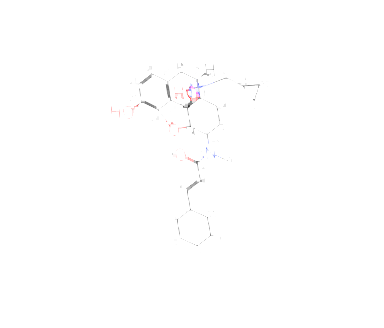 CN(C(=O)/C=C/C1CCCCC1)C1CC[C@@]2(O)[C@H]3Cc4ccc(O)c5c4[C@@]2(CCN3CC2CC2)C1O5